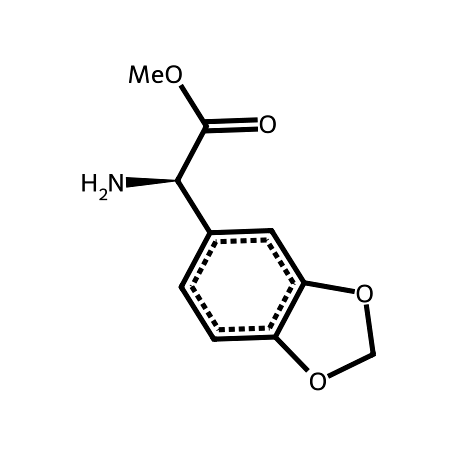 COC(=O)[C@H](N)c1ccc2c(c1)OCO2